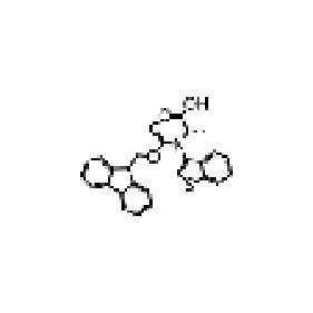 C[C@@H](C(=O)O)N(C(=O)OCC1c2ccccc2-c2ccccc21)c1csc2ccccc12